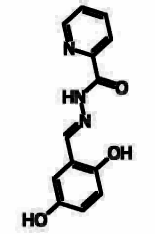 O=C(N/N=C/c1cc(O)ccc1O)c1ccccn1